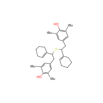 CC(C)(C)c1cc(CC(SC(Cc2cc(C(C)(C)C)c(O)c(C(C)(C)C)c2)C2=CCCCC2)C2=CCCCC2)cc(C(C)(C)C)c1O